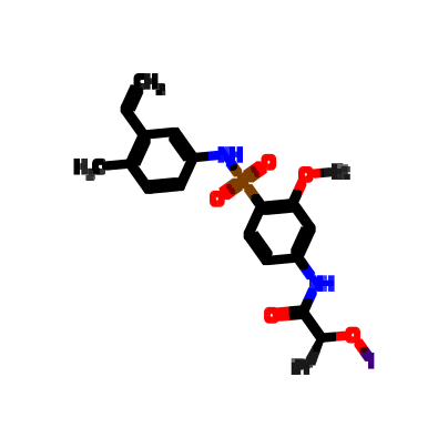 C=Cc1cc(NS(=O)(=O)c2ccc(NC(=O)[C@@H](OI)C(C)C)cc2OCC)ccc1C